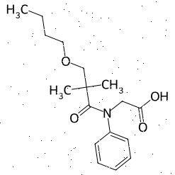 CCCCOCC(C)(C)C(=O)N(CC(=O)O)c1ccccc1